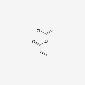 C=CC(=O)OC(=C)Cl